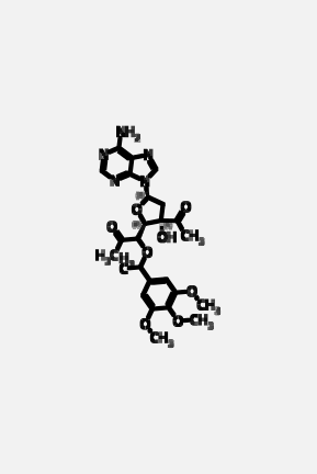 COc1cc(C(C)OC(C(C)=O)[C@H]2O[C@@H](n3cnc4c(N)ncnc43)C[C@@]2(O)C(C)=O)cc(OC)c1OC